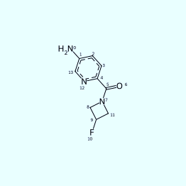 Nc1ccc(C(=O)N2CC(F)C2)nc1